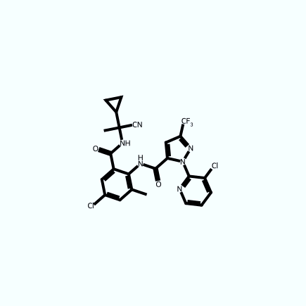 Cc1cc(Cl)cc(C(=O)NC(C)(C#N)C2CC2)c1NC(=O)c1cc(C(F)(F)F)nn1-c1ncccc1Cl